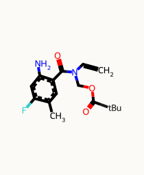 C=CN(COC(=O)C(C)(C)C)C(=O)c1cc(C)c(F)cc1N